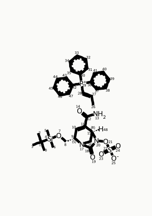 CC(C)(C)[Si](C)(C)OC[C@@H]1C=C(C(N)=O)[C@@H]2CN1C(=O)N2OS(=O)(=O)[O-].CC=C[P+](c1ccccc1)(c1ccccc1)c1ccccc1